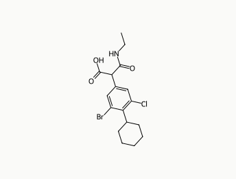 CCNC(=O)C(C(=O)O)c1cc(Cl)c(C2CCCCC2)c(Br)c1